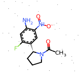 CC(=O)N1CCC[C@@H]1c1cc([N+](=O)[O-])c(N)cc1F